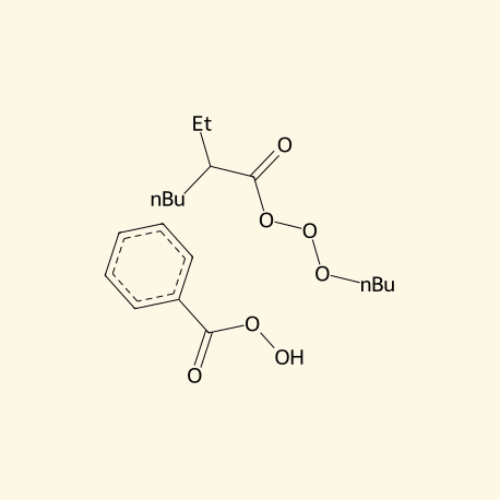 CCCCOOOC(=O)C(CC)CCCC.O=C(OO)c1ccccc1